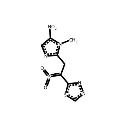 Cn1c([N+](=O)[O-])cnc1CC(c1nncs1)=S(=O)=O